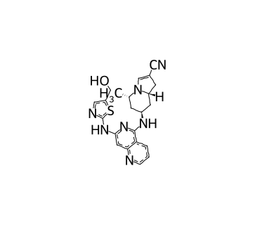 C[C@H]1C[C@H](Nc2nc(Nc3ncc(CO)s3)cc3ncccc23)C[C@H]2CC(C#N)=CN21